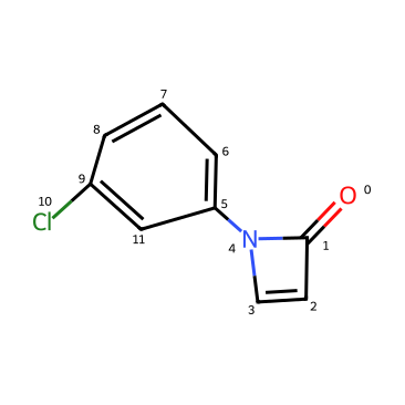 O=C1C=CN1c1cccc(Cl)c1